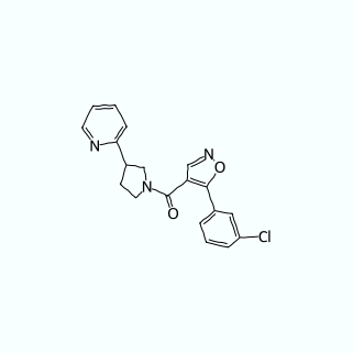 O=C(c1cnoc1-c1cccc(Cl)c1)N1CCC(c2ccccn2)C1